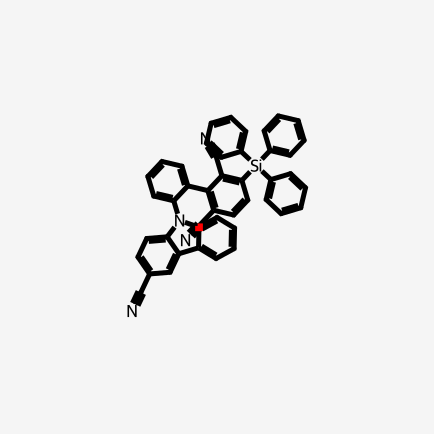 N#Cc1ccc2c(c1)c1ccccc1n2-c1ccccc1-c1c(C#N)ccc([Si](c2ccccc2)(c2ccccc2)c2ccccc2)c1C#N